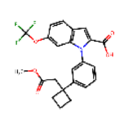 COC(=O)CC1(c2cccc(-n3c(C(=O)O)cc4ccc(OC(F)(F)F)cc43)c2)CCC1